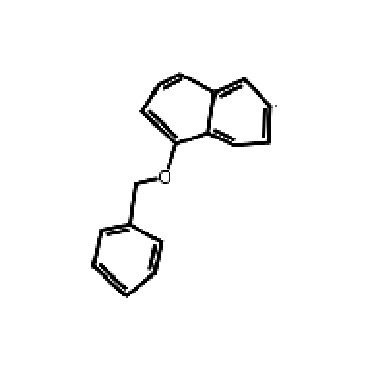 [c]1ccc2c(OCc3ccccc3)cccc2c1